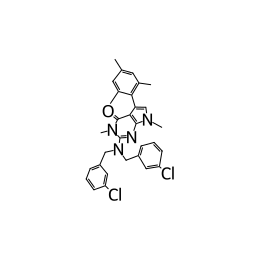 Cc1cc(C)c(-c2cn(C)c3nc(N(Cc4cccc(Cl)c4)Cc4cccc(Cl)c4)n(C)c(=O)c23)c(C)c1